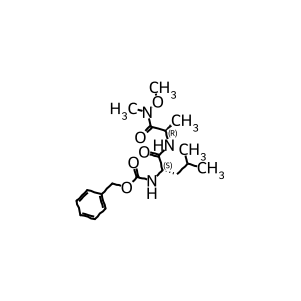 CON(C)C(=O)[C@@H](C)NC(=O)[C@H](CC(C)C)NC(=O)OCc1ccccc1